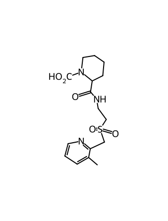 Cc1cccnc1CS(=O)(=O)CCNC(=O)C1CCCCN1C(=O)O